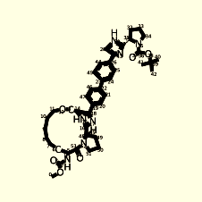 COC(=O)N[C@H]1CCCCCCOCc2[nH]c(nc2-c2ccc(-c3ccc(-c4c[nH]c([C@@H]5CCCN5C(=O)OC(C)(C)C)n4)cc3)cc2)[C@@H]2CCCN2C1=O